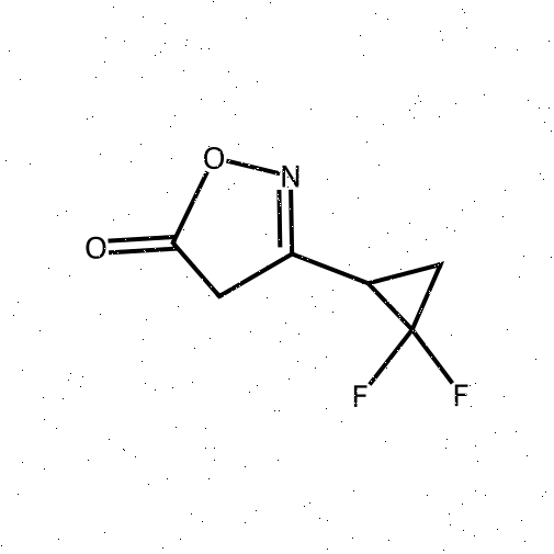 O=C1CC(C2CC2(F)F)=NO1